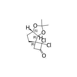 CC1(C)O[C@H]2CC[C@@]3(CC(=O)C3(Cl)Cl)[C@H]2O1